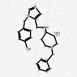 Cl.N#Cc1ccc(Cn2cncc2CNC2CCN(Cc3ccccc3)CC2)cc1